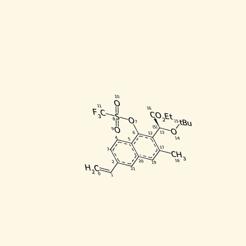 C=Cc1ccc2c(OS(=O)(=O)C(F)(F)F)c([C@H](OC(C)(C)C)C(=O)OCC)c(C)cc2c1